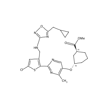 COC(=O)[C@H]1CCC[C@H](Oc2cnc(-c3sc(Cl)cc3CNc3noc(CC4CC4)n3)nc2C)C1